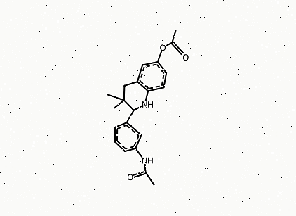 CC(=O)Nc1cccc(C2Nc3ccc(OC(C)=O)cc3CC2(C)C)c1